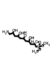 CO[Si](CCCC(O)CC(O)CC(O)CC(O)CN)(OC)OC